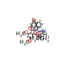 COc1cc(OC)c2c(c1)OC(c1ccc(Br)cc1)(C(c1ccccc1)C(C#N)O[Si](C)(C)C)C2=O